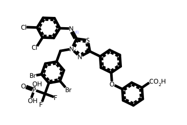 O=C(O)c1cccc(Oc2cccc(-c3nn(Cc4cc(Br)c(C(F)(F)P(=O)(O)O)c(Br)c4)/c(=N\c4ccc(Cl)c(Cl)c4)s3)c2)c1